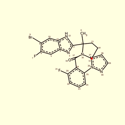 CC1(c2nc3cc(F)c(Br)cc3[nH]2)CCCN1C(=O)c1c(F)cccc1-n1nccn1